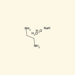 NCCN.O.O.[NaH]